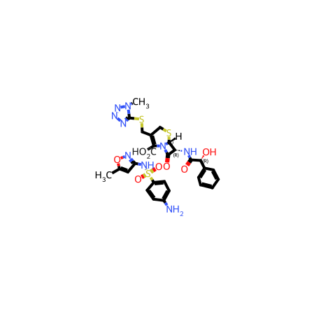 Cc1cc(NS(=O)(=O)c2ccc(N)cc2)no1.Cn1nnnc1SCC1=C(C(=O)O)N2C(=O)[C@@H](NC(=O)[C@H](O)c3ccccc3)[C@H]2SC1